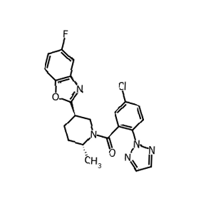 C[C@@H]1CC[C@@H](c2nc3cc(F)ccc3o2)CN1C(=O)c1cc(Cl)ccc1-n1nccn1